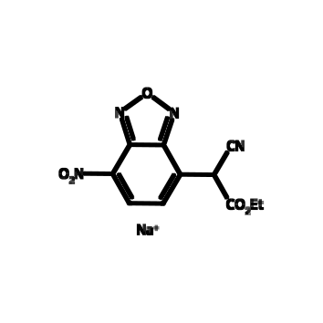 CCOC(=O)C(C#N)c1ccc([N+](=O)[O-])c2nonc12.[Na+]